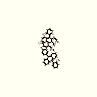 C=Cc1sc2ccc(-c3c4ccccc4c(-c4ccccc4C#N)c4ccccc34)cc2c1/C(=C\C)C1=c2ccccc2=C(c2ccccc2C#N)C(/C=C\C)C1C=C